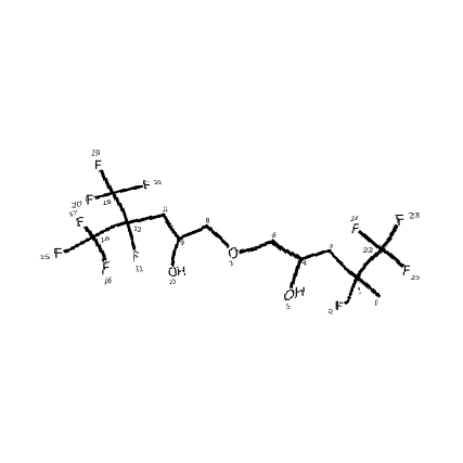 CC(F)(CC(O)COCC(O)CC(F)(C(F)(F)F)C(F)(F)F)C(F)(F)F